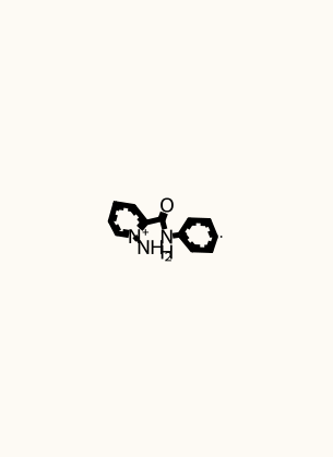 N[n+]1ccccc1C(=O)Nc1cc[c]cc1